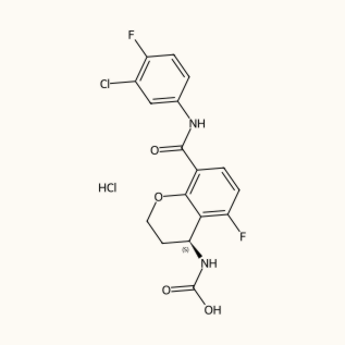 Cl.O=C(O)N[C@H]1CCOc2c(C(=O)Nc3ccc(F)c(Cl)c3)ccc(F)c21